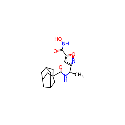 C[C@@H](NC(=O)C12CC3CC(CC(C3)C1)C2)c1cc(C(=O)NO)on1